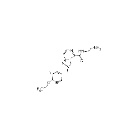 Cc1cc(Cn2cc3c(C(=O)NCCN)nccc3n2)cnc1OCC(F)(F)F